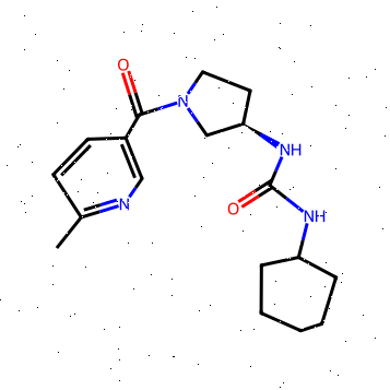 Cc1ccc(C(=O)N2CC[C@@H](NC(=O)NC3CCCCC3)C2)cn1